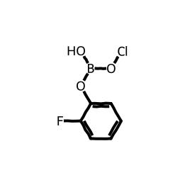 OB(OCl)Oc1ccccc1F